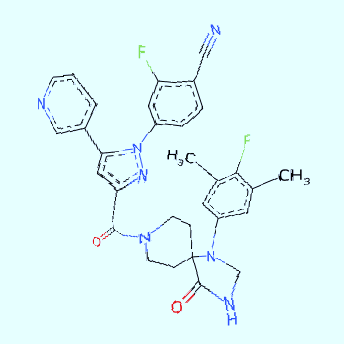 Cc1cc(N2CNC(=O)C23CCN(C(=O)c2cc(-c4cccnc4)n(-c4ccc(C#N)c(F)c4)n2)CC3)cc(C)c1F